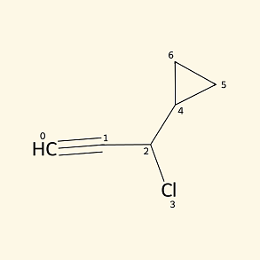 C#CC(Cl)C1CC1